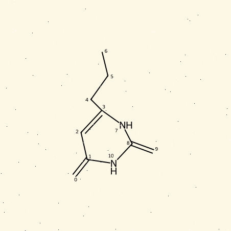 C=C1C=C(CCC)NC(=C)N1